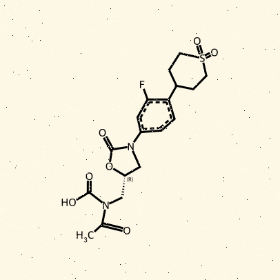 CC(=O)N(C[C@H]1CN(c2ccc(C3CCS(=O)(=O)CC3)c(F)c2)C(=O)O1)C(=O)O